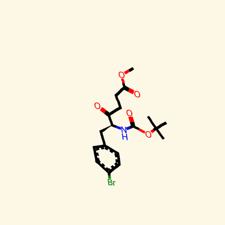 COC(=O)CCC(=O)[C@H](Cc1ccc(Br)cc1)NC(=O)OC(C)(C)C